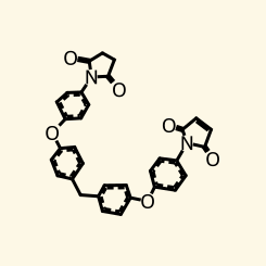 O=C1C=CC(=O)N1c1ccc(Oc2ccc(Cc3ccc(Oc4ccc(N5C(=O)CCC5=O)cc4)cc3)cc2)cc1